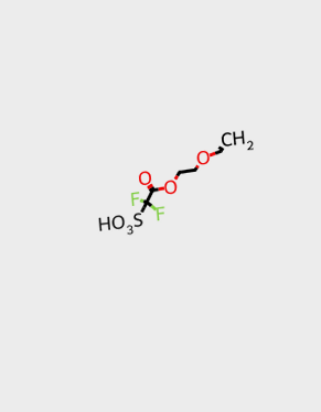 C=COCCOC(=O)C(F)(F)S(=O)(=O)O